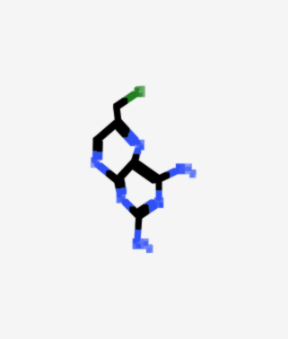 Nc1nc(N)c2nc(CCl)cnc2n1